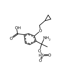 CC(N)(O[SH](=O)=O)c1ccc(C(=O)O)cc1OCC1CC1